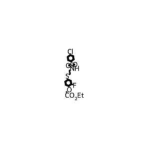 CCOC(=O)COc1ccc(SCCNS(=O)(=O)c2ccc(Cl)cc2)cc1F